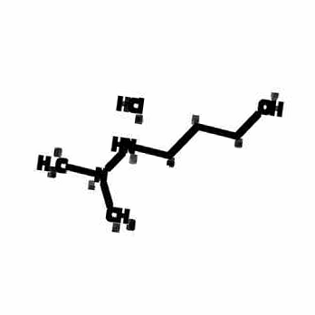 CN(C)NCCCO.Cl